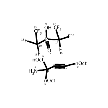 CCCCCCCCC#CC(N)(CCCCCCCC)CCCCCCCC.O=P(O)(C(F)(F)C(F)(F)F)C(F)(F)C(F)(F)F